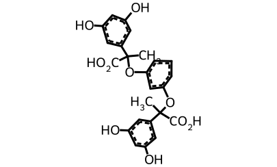 CC(Oc1cccc(OC(C)(C(=O)O)c2cc(O)cc(O)c2)c1)(C(=O)O)c1cc(O)cc(O)c1